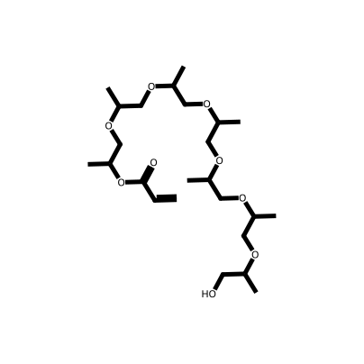 C=CC(=O)OC(C)COC(C)COC(C)COC(C)COC(C)COC(C)COC(C)CO